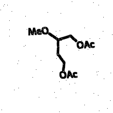 CO[C](CCOC(C)=O)COC(C)=O